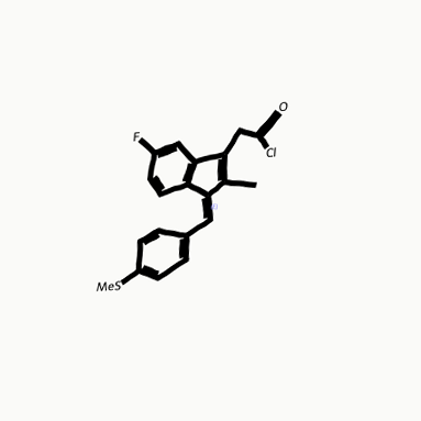 CSc1ccc(/C=C2/C(C)=C(CC(=O)Cl)c3cc(F)ccc32)cc1